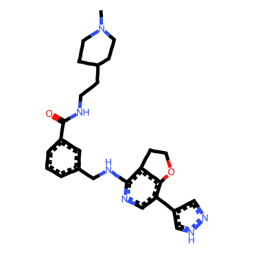 CN1CCC(CCNC(=O)c2cccc(CNc3ncc(-c4cn[nH]c4)c4c3CCO4)c2)CC1